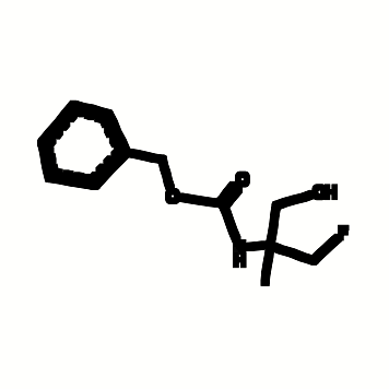 CC(CO)(CF)NC(=O)OCc1ccccc1